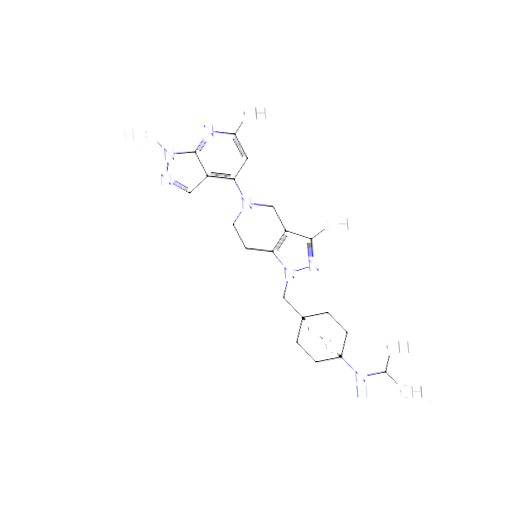 Cc1cc(N2CCc3c(c(C)nn3CC34CCC(NC(C)C)(CC3)CC4)C2)c2cnn(C)c2n1